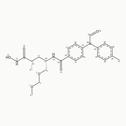 COCOC[C@H](C[C@H](C)C(=O)NO)NC(=O)c1ccc(N(C=O)c2ccc(C)cc2)cc1